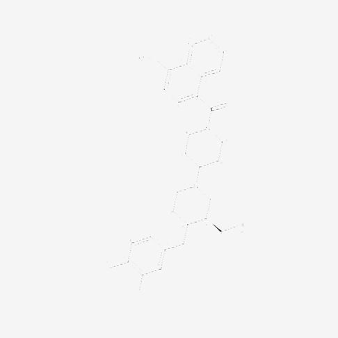 COc1ccc(C(=O)N2CCC(N3CCC(Cc4ccc(Cl)c(Cl)c4)[C@H](CO)C3)CC2)c2cccnc12